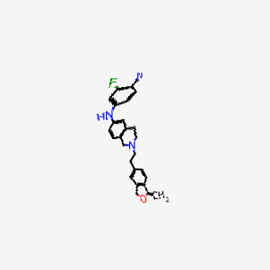 C=C1OCc2cc(CCN3CCc4cc(Nc5ccc(C#N)c(F)c5)ccc4C3)ccc21